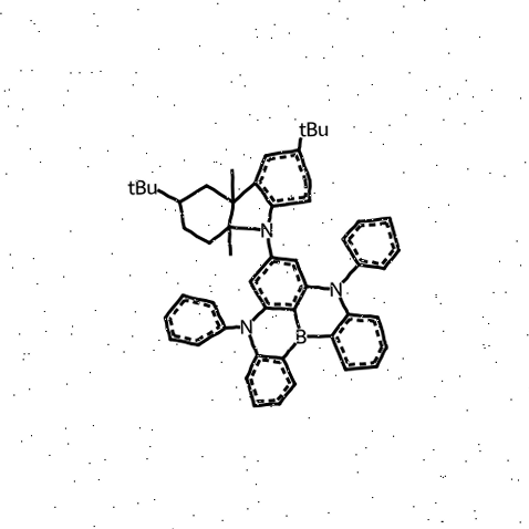 CC(C)(C)c1ccc2c(c1)C1(C)CC(C(C)(C)C)CCC1(C)N2c1cc2c3c(c1)N(c1ccccc1)c1ccccc1B3c1ccccc1N2c1ccccc1